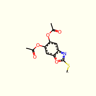 [CH2]Sc1nc2cc(OC(C)=O)c(OC(C)=O)cc2o1